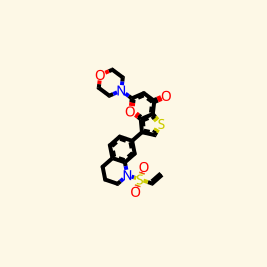 C=CS(=O)(=O)N1CCCc2ccc(-c3csc4c(=O)cc(N5CCOCC5)oc34)cc21